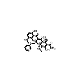 CN(C)c1ccc(O)c2c1C[C@@]1(CNc3cccnc3)C[C@H]3[C@H](N(C)C)C(O)=C(C(N)=O)C(=O)[C@@]3(O)C(O)=C1C2=O